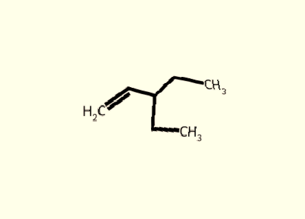 C=CC(CC)CC